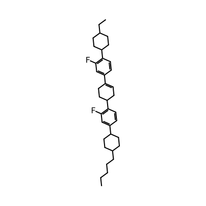 CCCCCC1CCC(c2ccc(C3CC=C(c4ccc(C5CCC(CC)CC5)c(F)c4)CC3)c(F)c2)CC1